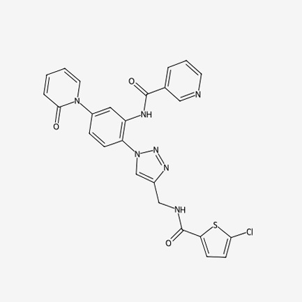 O=C(Nc1cc(-n2ccccc2=O)ccc1-n1cc(CNC(=O)c2ccc(Cl)s2)nn1)c1cccnc1